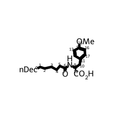 CCCCCCCCCCCCCCCC(=O)N[C@@H](Cc1ccc(OC)cc1)C(=O)O